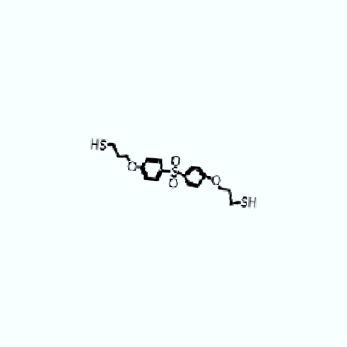 O=S(=O)(c1ccc(OCCCS)cc1)c1ccc(OCCCS)cc1